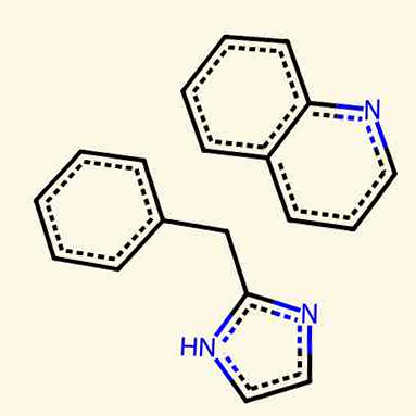 c1ccc(Cc2ncc[nH]2)cc1.c1ccc2ncccc2c1